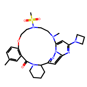 Cc1ccc2c(c1)C(=O)N1CCCCC1c1cc3nc(N4CCC4)cc(n3n1)N(C)CCN(S(C)(=O)=O)CCO2